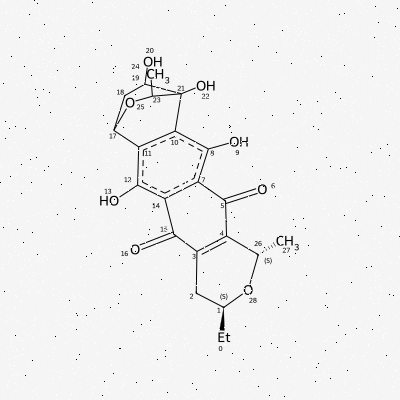 CC[C@H]1CC2=C(C(=O)c3c(O)c4c(c(O)c3C2=O)C2CC(O)C4(O)C(C)O2)[C@H](C)O1